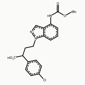 CC(C)(C)OC(=O)Nc1cccc2c1cnn2CCC(C(=O)O)c1ccc(Cl)cc1